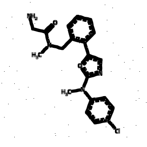 CN(Cc1ccccc1-c1cnc(N(C)c2ccc(Cl)cc2)o1)C(=O)CN